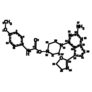 COc1ccc(NC(=O)ON2CCN(c3nc(N)nc4scc(C5=NCCO5)c34)CC2)cc1